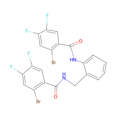 O=C(NCc1ccccc1NC(=O)c1cc(F)c(F)cc1Br)c1cc(F)c(F)cc1Br